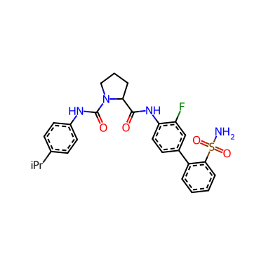 CC(C)c1ccc(NC(=O)N2CCCC2C(=O)Nc2ccc(-c3ccccc3S(N)(=O)=O)cc2F)cc1